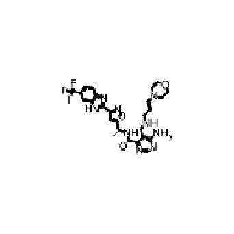 C[C@@H](NC(=O)c1ncnc(N)c1CNCCCN1CCOCC1)c1cc(-c2nc3ccc(C(F)(F)F)cc3[nH]2)no1